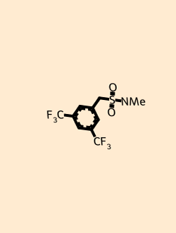 CNS(=O)(=O)Cc1cc(C(F)(F)F)cc(C(F)(F)F)c1